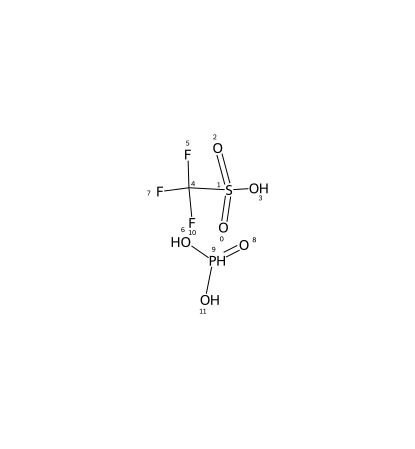 O=S(=O)(O)C(F)(F)F.O=[PH](O)O